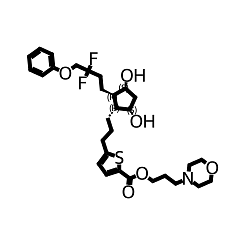 O=C(OCCCN1CCOCC1)c1ccc(CCC[C@@H]2[C@@H](CCC(F)(F)COc3ccccc3)[C@@H](O)C[C@@H]2O)s1